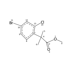 COC(=O)C(C)(C)c1ccc(Br)cc1Cl